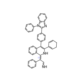 N=C/C(=C1\NC(C2=CCCC=C2)=C(c2ccc(-c3nc4ccccc4n3-c3ccccc3)cc2)c2ccccc21)c1ccccc1